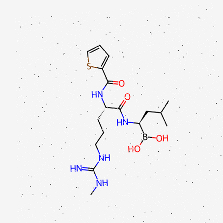 CNC(=N)NCCC[C@H](NC(=O)c1cccs1)C(=O)N[C@@H](CC(C)C)B(O)O